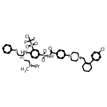 CC(C)N(C)CC[C@H](CSc1ccccc1)Nc1ccc(S(=O)(=O)NC(=O)c2ccc(N3CCN(CC4=C(c5ccc(Cl)cc5)CCCC4)CC3)cc2)cc1S(=O)(=O)C(F)(F)Cl